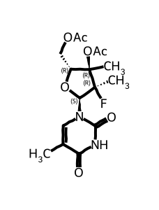 CC(=O)OC[C@H]1O[C@H](n2cc(C)c(=O)[nH]c2=O)[C@](C)(F)[C@]1(C)OC(C)=O